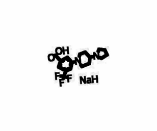 O=C(O)c1cc(N2CCC(N3CCCC3)CC2)cc(C(F)(F)F)c1.[NaH]